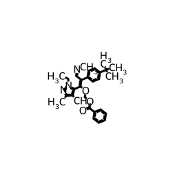 CCn1nc(C)c(C)c1/C(OCOC(=O)c1ccccc1)=C(\C=N/C)c1ccc(C(C)(C)C)cc1